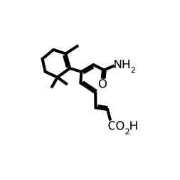 CC1=C(C(C=CC=CC(=O)O)=CC(N)=O)C(C)(C)CCC1